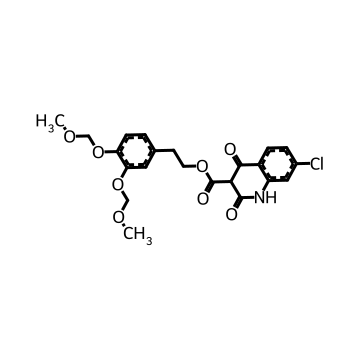 COCOc1ccc(CCOC(=O)C2C(=O)Nc3cc(Cl)ccc3C2=O)cc1OCOC